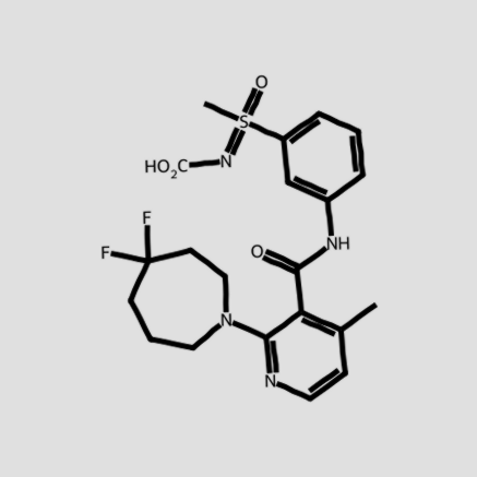 Cc1ccnc(N2CCCC(F)(F)CC2)c1C(=O)Nc1cccc(S(C)(=O)=NC(=O)O)c1